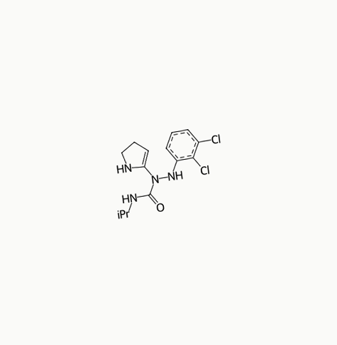 CC(C)NC(=O)N(Nc1cccc(Cl)c1Cl)C1=CCCN1